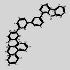 c1cc(-c2cccc(-c3cccc4c3sc3ccccc34)c2)cc(-c2ccc3c(c2)-c2cccc4c2c(cc2ccccc24)O3)c1